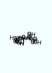 COC(C(=O)O)c1ccc2c(c1)CC(O)CN2CCCC(=O)Nc1cccc(-n2c(S)nnc2S)c1